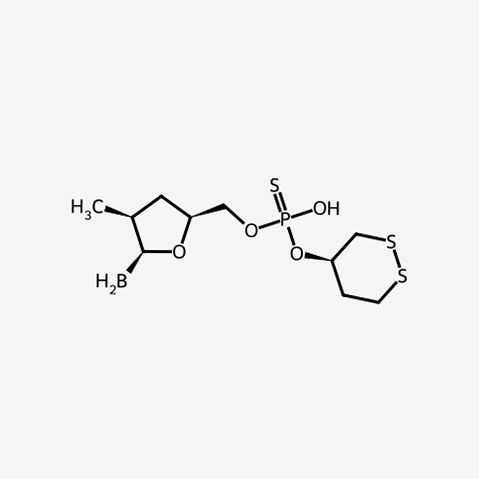 B[C@@H]1O[C@H](COP(O)(=S)O[C@@H]2CCSSC2)C[C@@H]1C